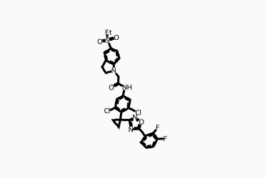 CCS(=O)(=O)c1ccc2c(c1)CCN2CC(=O)Nc1cc(Cl)c(C2(c3noc(-c4cccc(F)c4F)n3)CC2)c(Cl)c1